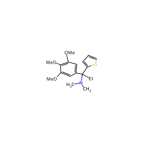 CCC(c1cc(OC)c(OC)c(OC)c1)(c1cccs1)N(C)C